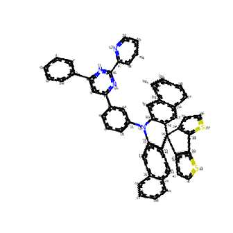 c1ccc(-c2cc(-c3cccc(N4c5cc6ccccc6cc5C5(c6cc7ccccc7cc64)c4ccsc4-c4sccc45)c3)nc(-c3ccccn3)n2)cc1